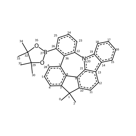 CC1(C)c2cccc3c2-c2c1ccc1c4ccccc4n(c21)-c1cccc(B2OC(C)(C)C(C)(C)O2)c1-3